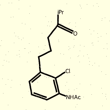 CC(=O)Nc1cccc(CCCC(=O)C(C)C)c1Cl